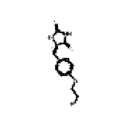 CC(C)CCOc1ccc(/C=C2/NC(=O)NC2=O)cc1